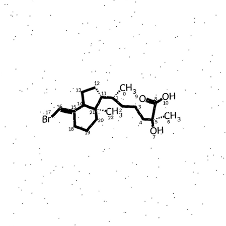 C[C@H](CCC[C@](C)(O)C(=O)O)[C@H]1CCC2C(=CBr)CCC[C@@]21C